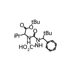 CC(C)C(NC(=O)N(NC(=O)O)C(c1ccccc1)C(C)(C)C)C(=O)OC(C)(C)C